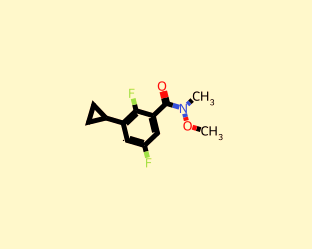 CON(C)C(=O)c1cc(F)[c]c(C2CC2)c1F